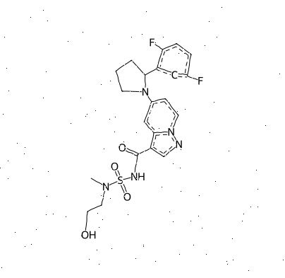 CN(CCO)S(=O)(=O)NC(=O)c1cnn2ccc(N3CCCC3c3cc(F)ccc3F)cc12